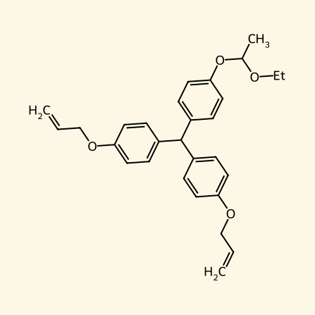 C=CCOc1ccc(C(c2ccc(OCC=C)cc2)c2ccc(OC(C)OCC)cc2)cc1